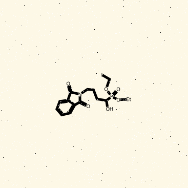 CCOP(=O)(OCI)C(O)CCCN1C(=O)c2ccccc2C1=O